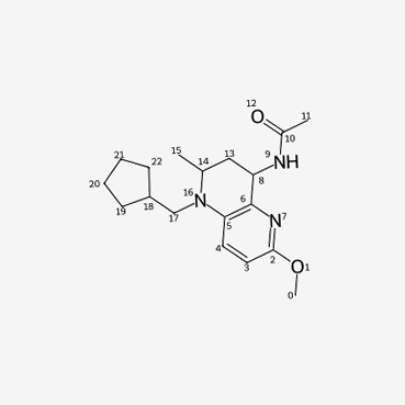 COc1ccc2c(n1)C(NC(C)=O)CC(C)N2CC1CCCC1